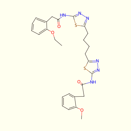 CCOc1ccccc1CC(=O)Nc1nnc(CCCCc2nnc(NC(=O)Cc3ccccc3OC)s2)s1